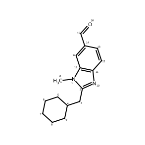 Cn1c(CC2CCCCC2)nc2ccc(C=O)cc21